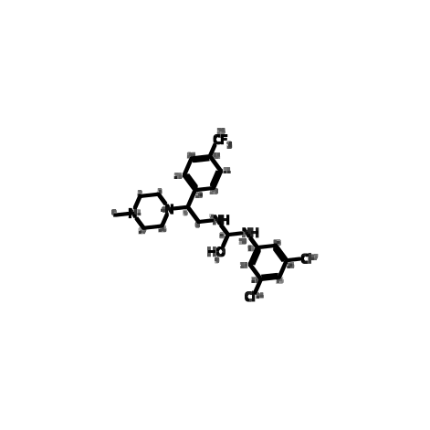 CN1CCN(C(CNC(O)Nc2cc(Cl)cc(Cl)c2)c2ccc(C(F)(F)F)cc2)CC1